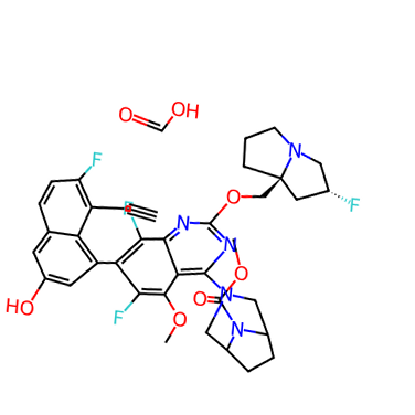 C#Cc1c(F)ccc2cc(O)cc(-c3c(F)c(OC)c4c(N5CC6CCC(C5)N6C(=O)OC)nc(OC[C@@]56CCCN5C[C@H](F)C6)nc4c3F)c12.O=CO